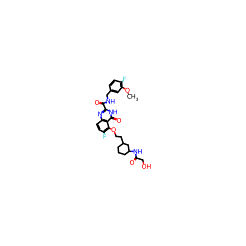 COc1cc(CNC(=O)c2nc3ccc(F)c(OCCC4CCCC(NC(=O)CO)C4)c3c(=O)[nH]2)ccc1F